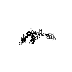 C[C@]1(c2cc(/C=C(\F)c3cnc(Cl)cn3)ccc2F)N=C(OC(=O)NCOCC[Si](C)(C)C)S[C@@]2(C(=O)N3CCOCC3)C[C@H]21